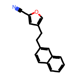 N#Cc1cc(CCc2ccc3ccccc3c2)co1